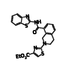 CCOC(=O)c1csc(N2CCc3cccc(C(=O)Nc4nc5ccccc5s4)c3C2)n1